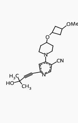 COC1CC(OC2CCN(c3cc(C#CC(C)(C)O)ncc3C#N)CC2)C1